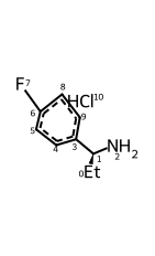 CC[C@H](N)c1ccc(F)cc1.Cl